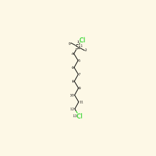 C[Si](C)(Cl)CCCCCCCCCCl